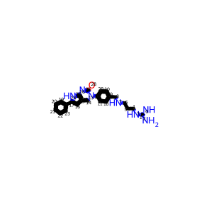 N=C(N)NCCCNCc1ccc(-n2cc3cc(-c4ccccc4)[nH]c3nc2=O)cc1